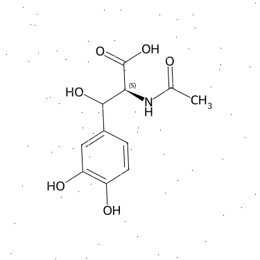 CC(=O)N[C@H](C(=O)O)C(O)c1ccc(O)c(O)c1